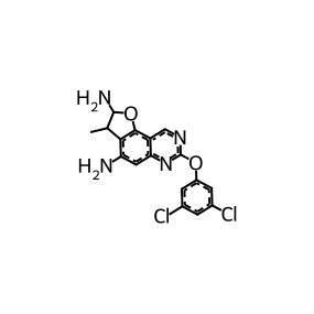 CC1c2c(N)cc3nc(Oc4cc(Cl)cc(Cl)c4)ncc3c2OC1N